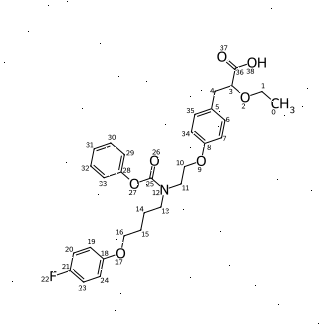 CCOC(Cc1ccc(OCCN(CCCCOc2ccc(F)cc2)C(=O)Oc2ccccc2)cc1)C(=O)O